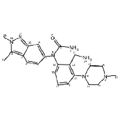 Cc1c2ccc(N(C(N)=O)c3cccc(N4CCN(C)CC4)c3CN)cc2nn1C